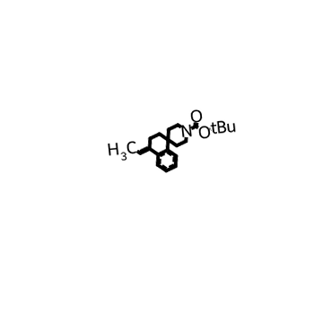 C/C=C1\CCC2(CCN(C(=O)OC(C)(C)C)CC2)c2ccccc21